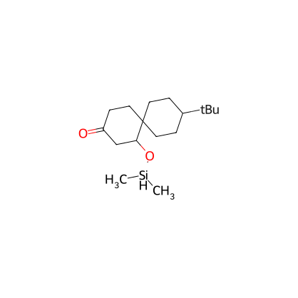 C[SiH](C)OC1CC(=O)CCC12CCC(C(C)(C)C)CC2